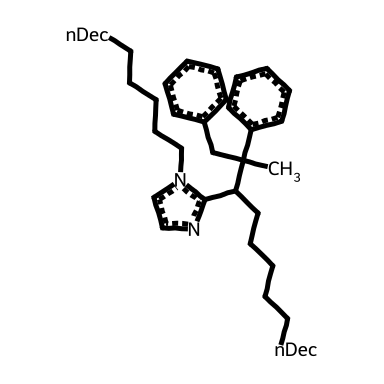 CCCCCCCCCCCCCCCC(c1nccn1CCCCCCCCCCCCCCC)C(C)(Cc1ccccc1)c1ccccc1